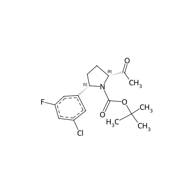 CC(=O)[C@H]1CC[C@@H](c2cc(F)cc(Cl)c2)N1C(=O)OC(C)(C)C